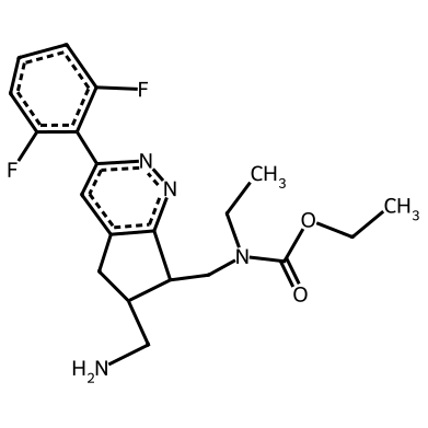 CCOC(=O)N(CC)CC1c2nnc(-c3c(F)cccc3F)cc2CC1CN